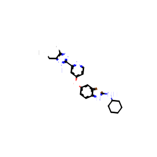 CCc1[nH]c(-c2cc(Oc3ccc4nc(NC5CCCCC5)sc4c3)ccn2)nc1C